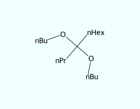 CCCCCCC(CCC)(OCCCC)OCCCC